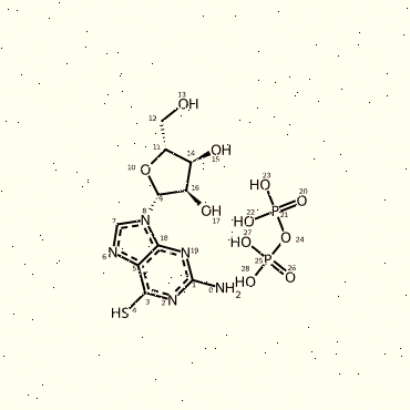 Nc1nc(S)c2ncn([C@@H]3O[C@H](CO)[C@@H](O)[C@H]3O)c2n1.O=P(O)(O)OP(=O)(O)O